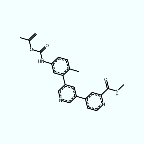 C=C(C)OC(=O)Nc1ccc(C)c(-c2cncc(-c3ccnc(C(=O)NC)c3)c2)c1